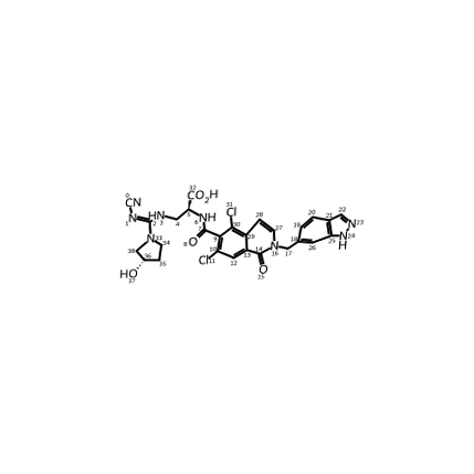 N#C/N=C(\NC[C@H](NC(=O)c1c(Cl)cc2c(=O)n(Cc3ccc4cn[nH]c4c3)ccc2c1Cl)C(=O)O)N1CC[C@H](O)C1